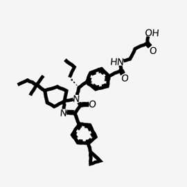 CCC[C@H](c1ccc(C(=O)NCCC(=O)O)cc1)N1C(=O)C(c2ccc(C3CC3)cc2)=NC12CCC(C(C)(C)CC)CC2